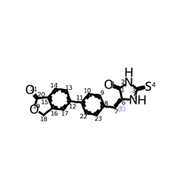 O=C1NC(=S)N/C1=C/c1ccc(-c2ccc3c(c2)COC3=O)cc1